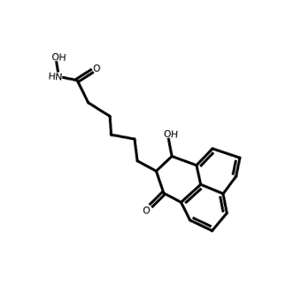 O=C(CCCCCC1C(=O)c2cccc3cccc(c23)C1O)NO